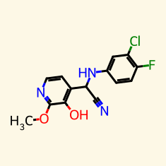 COc1nccc(C(C#N)Nc2ccc(F)c(Cl)c2)c1O